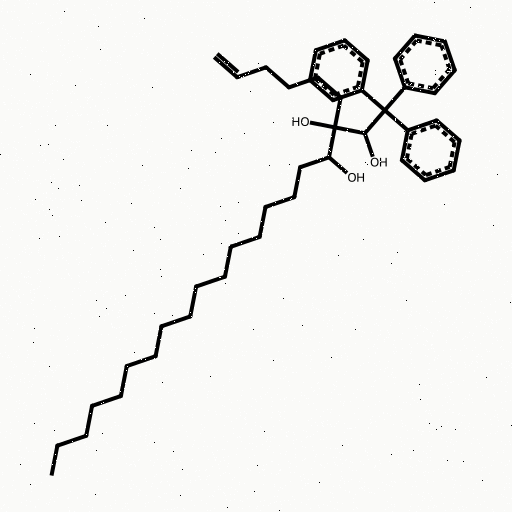 C=CCCCCC(O)(C(O)CCCCCCCCCCCCCCCC)C(O)C(c1ccccc1)(c1ccccc1)c1ccccc1